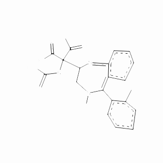 CC(=O)NC(C(=O)O)(C(=O)O)C1CN(Cl)C(c2ccccc2F)=c2ccccc2=N1